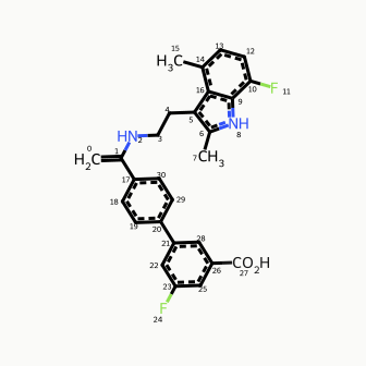 C=C(NCCc1c(C)[nH]c2c(F)ccc(C)c12)c1ccc(-c2cc(F)cc(C(=O)O)c2)cc1